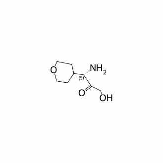 N[C@H](C(=O)CO)C1CCOCC1